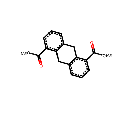 COC(=O)c1cccc2c1Cc1cccc(C(=O)OC)c1C2